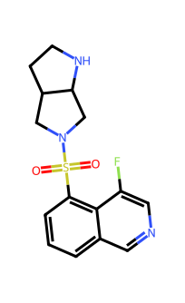 O=S(=O)(c1cccc2cncc(F)c12)N1CC2CCNC2C1